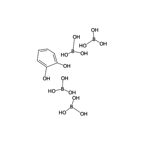 OB(O)O.OB(O)O.OB(O)O.OB(O)O.Oc1ccccc1O